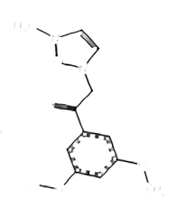 COc1cc(OC)cc(C(=O)CN2[C+]N(C)C=C2)c1.[Br-]